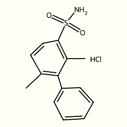 Cc1ccc(S(N)(=O)=O)c(C)c1-c1ccccc1.Cl